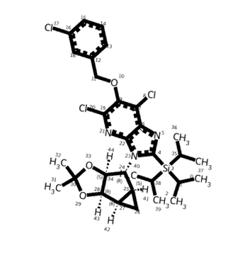 CC(C)[Si](c1nc2c(Cl)c(OCc3cccc(Cl)c3)c(Cl)nc2n1[C@@H]1[C@H]2C[C@H]2[C@H]2OC(C)(C)O[C@H]21)(C(C)C)C(C)C